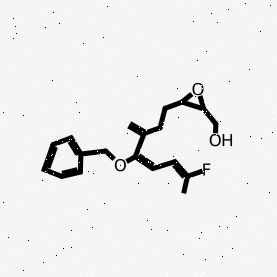 C=C(CCC1OC1CO)/C(=C\C=C(/C)F)OCc1ccccc1